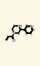 C=CC(=O)N1CCNC(c2cccnc2)C1